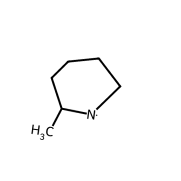 CC1CCCC[N]1